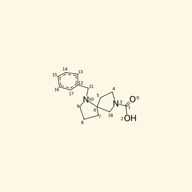 O=C(O)N1CCC2(CCCN2Cc2ccccc2)C1